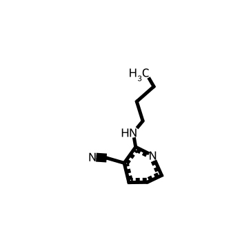 CCCCNc1ncccc1C#N